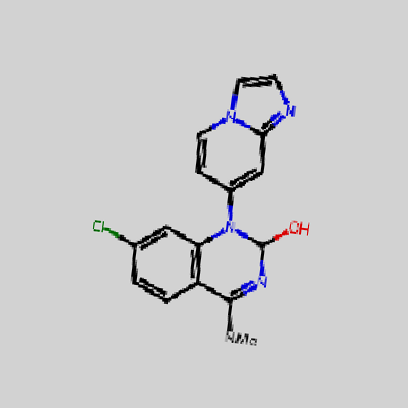 CNC1=NC(O)N(c2ccn3ccnc3c2)c2cc(Cl)ccc21